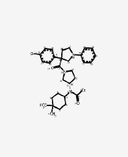 CCC(=O)N(C1CCC(C)(C)CC1)[C@H]1CCN(C(=O)C2(c3ccc(Cl)cc3)CCN(c3ccccc3)C2)C1